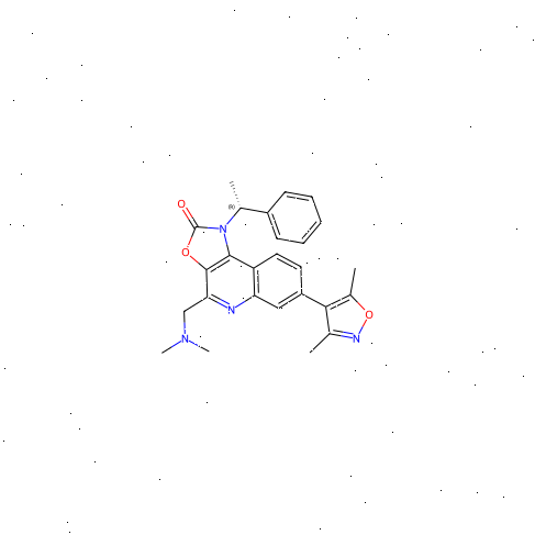 Cc1noc(C)c1-c1ccc2c(c1)nc(CN(C)C)c1oc(=O)n([C@H](C)c3ccccc3)c12